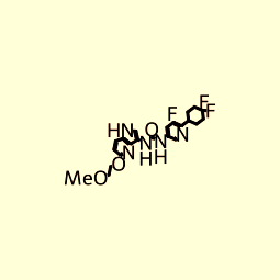 COCCOc1ccc2[nH]cc(NC(=O)Nc3cnc(C4CCC(F)(F)CC4)c(F)c3)c2n1